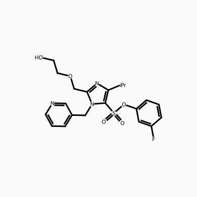 CC(C)c1nc(COCCO)n(Cc2cccnc2)c1S(=O)(=O)Oc1cccc(F)c1